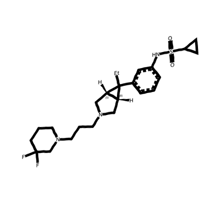 CCC1(c2cccc(NS(=O)(=O)C3CC3)c2)[C@@H]2CN(CCCN3CCCC(F)(F)C3)C[C@@H]21